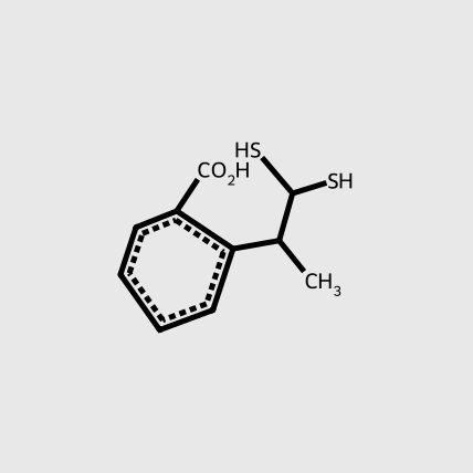 CC(c1ccccc1C(=O)O)C(S)S